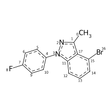 Cc1nn(-c2ccc(F)cc2)c2cccc(Br)c12